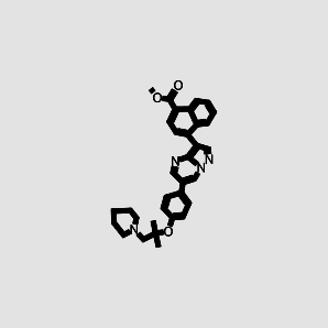 COC(=O)c1ccc(-c2cnn3cc(-c4ccc(OC(C)(C)CN5CCCCC5)cc4)cnc23)c2ccccc12